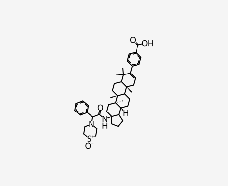 CC1(C)C(c2ccc(C(=O)O)cc2)=CC[C@@]2(C)C1CC[C@]1(C)C2CC[C@@H]2C3CCC[C@]3(NC(=O)C(c3ccccc3)N3CC[S+]([O-])CC3)CC[C@]21C